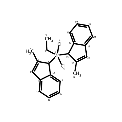 C[CH2][Zr]([Cl])([Cl])([CH]1C(C)=Cc2ccccc21)[CH]1C(C)=Cc2ccccc21